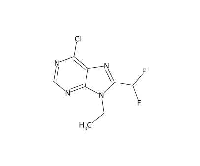 CCn1c(C(F)F)nc2c(Cl)ncnc21